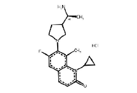 Cc1c(N2CCC([C@H](C)N)C2)c(F)cc2ccc(=O)n(C3CC3)c12.Cl